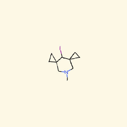 CN1CC2(CC2)C(I)C2(CC2)C1